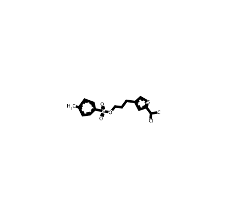 Cc1ccc(S(=O)(=O)OCCCc2csc(C(Cl)Cl)c2)cc1